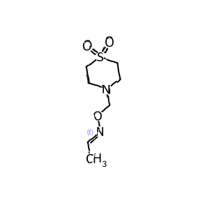 C/C=N/OCN1CCS(=O)(=O)CC1